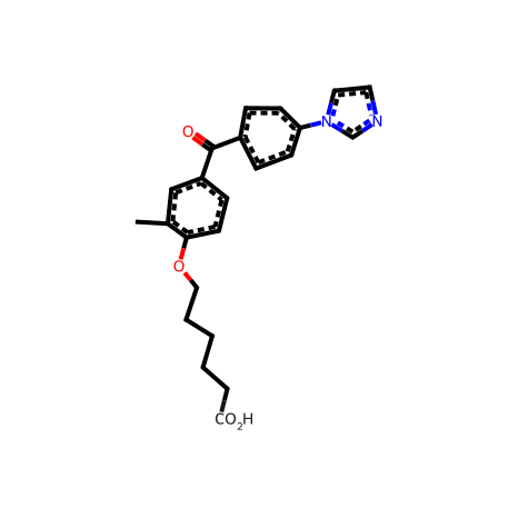 Cc1cc(C(=O)c2ccc(-n3ccnc3)cc2)ccc1OCCCCCC(=O)O